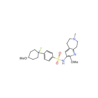 COc1nc2c(cc1NS(=O)(=O)c1ccc([C@]3(F)CC[C@H](OC)CC3)cc1)CCN(C)CC2